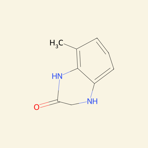 Cc1cccc2c1NC(=O)CN2